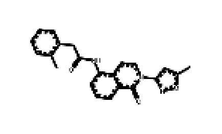 Cc1cc(-n2ccc3c(NC(=O)Cc4ccccc4C)cccc3c2=O)no1